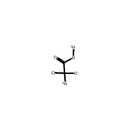 [2H]OC(=O)C([2H])(Cl)Cl